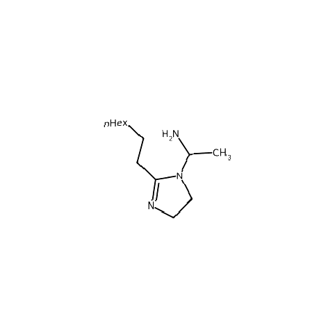 CCCCCCCCC1=NCCN1C(C)N